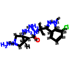 Cn1nc(C(C)(C)N(N)C(=O)[C@@H]2[C@H]3CN(N)C[C@]32N)c2cccc(Cl)c21